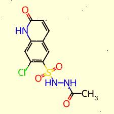 CC(=O)NNS(=O)(=O)c1cc2c[c]c(=O)[nH]c2cc1Cl